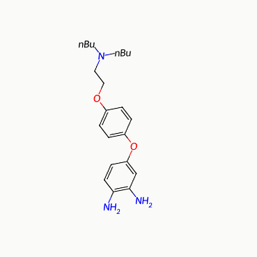 CCCCN(CCCC)CCOc1ccc(Oc2ccc(N)c(N)c2)cc1